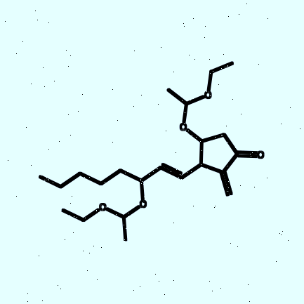 C=C1C(=O)CC(OC(C)OCC)C1C=CC(CCCCC)OC(C)OCC